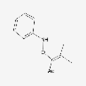 CC(=O)C(ONc1ccccc1)=C(C)C